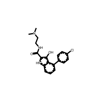 CN(C)CCNC(=O)c1[nH]c2cccc(-c3ccc(Cl)cc3)c2c1O